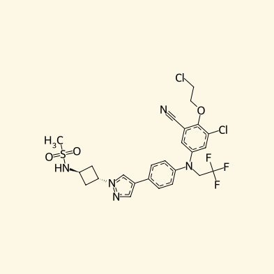 CS(=O)(=O)N[C@H]1C[C@H](n2cc(-c3ccc(N(CC(F)(F)F)c4cc(Cl)c(OCCCl)c(C#N)c4)cc3)cn2)C1